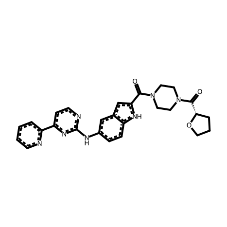 O=C(c1cc2cc(Nc3nccc(-c4ccccn4)n3)ccc2[nH]1)N1CCN(C(=O)[C@@H]2CCCO2)CC1